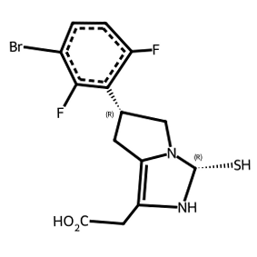 O=C(O)CC1=C2C[C@H](c3c(F)ccc(Br)c3F)CN2[C@H](S)N1